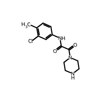 Cc1ccc(NC(=O)C(=O)N2CCNCC2)cc1Cl